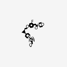 COCc1noc(N2CCC([C@H]3C[C@H]3CCOc3ccc(CC(=O)N4CCOCC4)c(F)c3)CC2)n1